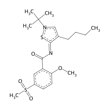 CCCCc1cn(C(C)(C)C)sc1=NC(=O)c1cc(S(C)(=O)=O)ccc1OC